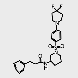 O=C(CCc1ccccc1)NC1CCCN(S(=O)(=O)c2ccc(N3CCC(F)(F)CC3)cc2)C1